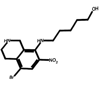 O=[N+]([O-])c1cc(Br)c2c(c1NCCCCCO)CNCC2